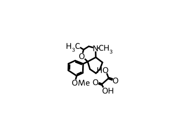 COc1cccc(C23CCCCC2N(C)CC(C)O3)c1.O=C(O)C(=O)O